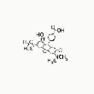 CN(C)c1ccc2c(-c3ccc(C(=O)O)cc3C(=O)O)c3cc(Cl)c(=[N+](C)C)cc-3oc2c1